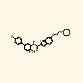 Nc1ccc(-c2ccc(F)cc2)cc1NC(=O)c1cc2ccc(OCCN3CCOCC3)cc2o1